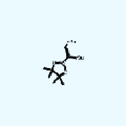 CCCCC=C(CCCC)B1OC(C)(C)C(C)(C)O1